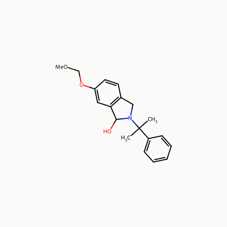 COCOc1ccc2c(c1)C(O)N(C(C)(C)c1ccccc1)C2